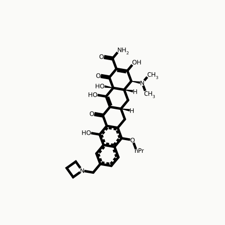 CCCOc1c2c(c(O)c3cc(CN4CCC4)ccc13)C(=O)C1=C(O)[C@]3(O)C(=O)C(C(N)=O)=C(O)[C@@H](N(C)C)[C@@H]3C[C@@H]1C2